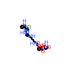 O=C(COc1cccc2c1C(=O)N(C1CCC(=O)NC1=O)C2=O)NCCCCCCN[C@H]1CC[C@H](Nc2ncc(Cl)c(-c3c[nH]c4ccccc34)n2)C1